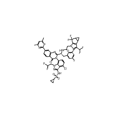 Cc1cc(C)nc(-c2ccc3c(=O)n(-c4ccc(Cl)c5c(NS(=O)(=O)C6CC6)nn(CC(F)F)c45)c([C@H](Cc4cc(F)cc(F)c4)NC(=O)Cn4nc(C(F)F)c5c4C(F)(F)C4CC54)nc3c2)n1